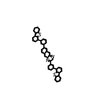 c1cc(-c2ccc3cc4nc(-c5cccc(-c6cccc7c6sc6ccccc67)c5)cnc4cc3c2)cc(-c2cccc3c2sc2ccccc23)c1